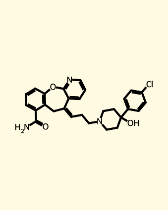 NC(=O)c1cccc2c1C/C(=C/CCN1CCC(O)(c3ccc(Cl)cc3)CC1)c1cccnc1O2